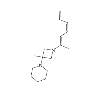 C=C/C=C\C=C(/C)N1CC(C)(N2CCCCC2)C1